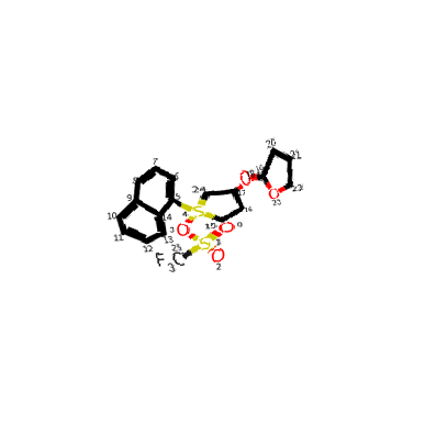 O=S(=O)(OS1(c2cccc3ccccc23)CCC(OC2CCCO2)C1)C(F)(F)F